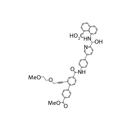 COCCOCC#Cc1cc(C(=O)Nc2ccc(-c3ccc(C(O)Nc4cccc5cccc(C(=O)O)c45)nc3)cc2)ccc1-c1ccc(C(=O)OC)cc1